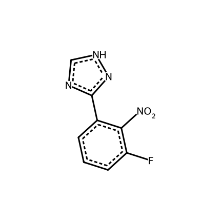 O=[N+]([O-])c1c(F)cccc1-c1nc[nH]n1